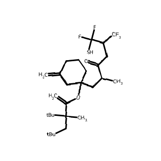 C=C1CCCC(CC(C)C(=O)CC(C(F)(F)F)C(F)(F)S)(OC(=C)C(C)(CC(C)(C)C)C(C)(C)C)C1